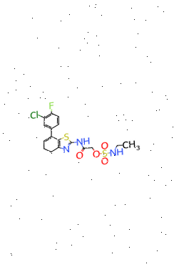 CCNS(=O)(=O)OCC(=O)Nc1nc2c(s1)C(c1ccc(F)c(Cl)c1)=CCC2